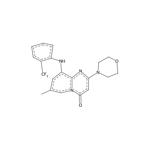 Cc1cc(Nc2ccccc2C(F)(F)F)c2nc(N3CCOCC3)cc(=O)n2c1